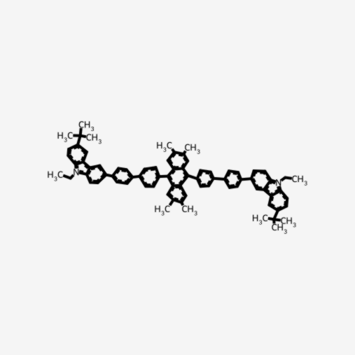 CCn1c2ccc(-c3ccc(-c4ccc(-c5c6cc(C)c(C)cc6c(-c6ccc(-c7ccc(-c8ccc9c(c8)c8cc(C(C)(C)C)ccc8n9CC)cc7)cc6)c6cc(C)c(C)cc56)cc4)cc3)cc2c2cc(C(C)(C)C)ccc21